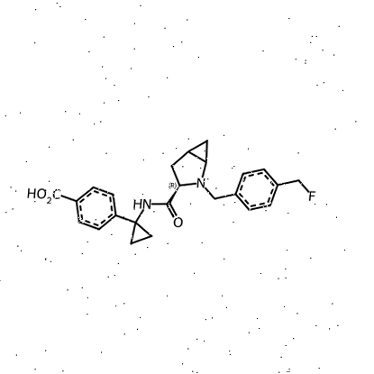 O=C(O)c1ccc(C2(NC(=O)[C@H]3CC4CC4N3Cc3ccc(CF)cc3)CC2)cc1